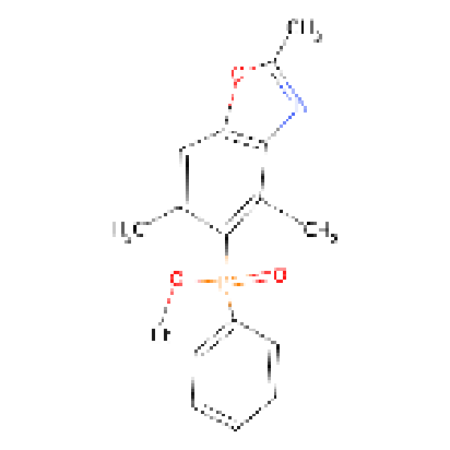 CCOP(=O)(c1ccccc1)c1c(C)cc2oc(C)nc2c1C